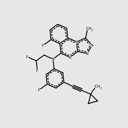 Cc1nnc2nc(N(CC(F)F)c3cc(F)cc(C#CC4(C)CC4)c3)c3c(F)cccc3n12